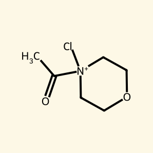 CC(=O)[N+]1(Cl)CCOCC1